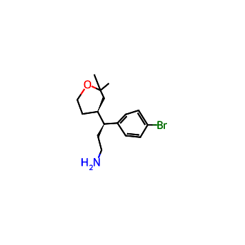 CC1(C)C[C@@H]([C@H](CCN)c2ccc(Br)cc2)CCO1